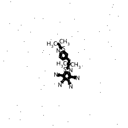 CC(C)c1nc2ccc(CC(C)(C)c3nc4c(C#N)c(C#N)c(C#N)c(C#N)c4s3)cc2s1